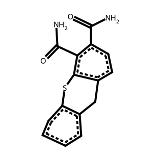 NC(=O)c1ccc2c(c1C(N)=O)Sc1ccccc1C2